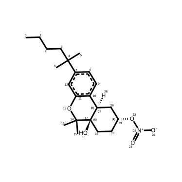 CCCCC(C)(C)c1ccc2c(c1)OC(C)(C)[C@@]1(O)CC[C@@H](O[N+](=O)[O-])C[C@H]21